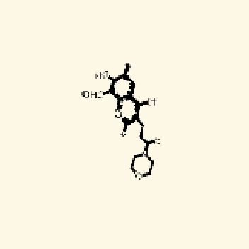 CCc1c(CCC(=O)N2CCOCC2)c(=O)oc2c(C=O)c(O)c(C)cc12